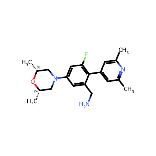 Cc1cc(-c2c(F)cc(N3C[C@@H](C)O[C@@H](C)C3)cc2CN)cc(C)n1